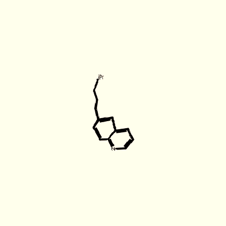 CC(C)CCCc1ccc2ncccc2c1